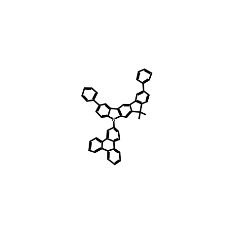 CC1(C)c2ccc(-c3ccccc3)cc2-c2cc3c4cc(-c5ccccc5)ccc4n(-c4ccc5c6ccccc6c6ccccc6c5c4)c3cc21